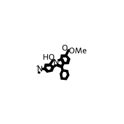 COC(=O)c1ccc2c(C3CCCCC3)c3n(c2c1)C(O)c1cc(N(C)C)ccc1-3